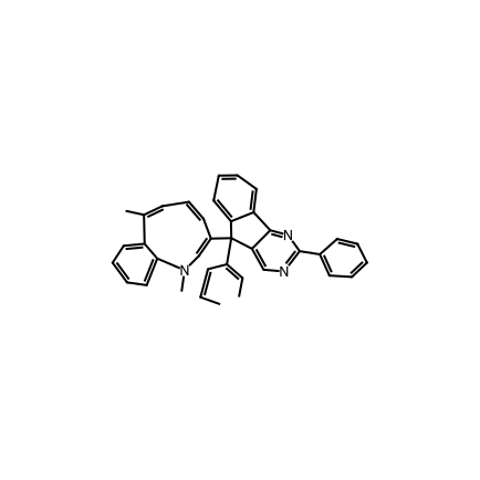 C/C=C\C(=C/C)C1(c2cccc(C)c3ccccc3n(C)c2)c2ccccc2-c2nc(-c3ccccc3)ncc21